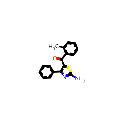 Cc1ccccc1C(=O)c1sc(N)nc1-c1ccccc1